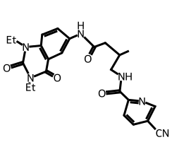 CCn1c(=O)c2cc(NC(=O)CC(C)CNC(=O)c3ccc(C#N)cn3)ccc2n(CC)c1=O